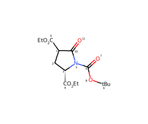 CCOC(=O)C1C[C@@H](C(=O)OCC)N(C(=O)OC(C)(C)C)C1=O